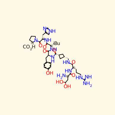 CCC(C)[C@H](NC(=O)C(Cc1ccc(O)cc1)NC(=O)[C@H]1C[C@@H](CNC(=O)[C@H](CCCNC(=N)N)NC(=O)[C@@H](N)CC(O)O)C1)C(=O)N[C@@H](Cc1c[nH]cn1)C(=O)N1CCC[C@H]1C(=O)O